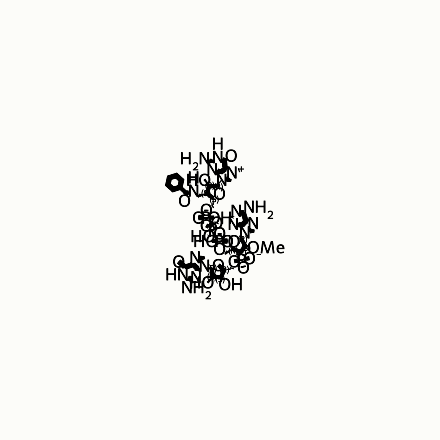 CO[C@@H]1[C@H](P(=O)([O-])OC[C@H]2O[C@@H](n3cnc4c(=O)[nH]c(N)nc43)[C@H](O)[C@@H]2O)[C@@H](COP(=O)(O)OP(=O)(O)OP(=O)(O)OC[C@H]2O[C@@H](n3c[n+](C)c4c(=O)[nH]c(N)nc43)[C@H](O)[C@@H]2CNC(=O)c2ccccc2)O[C@H]1n1cnc2c(N)ncnc21